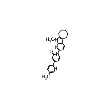 Cc1ccc(-c2ccn(-c3ccc4c5c(n(C)c4n3)CCCCC5)c(=O)c2)nc1